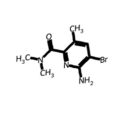 Cc1cc(Br)c(N)nc1C(=O)N(C)C